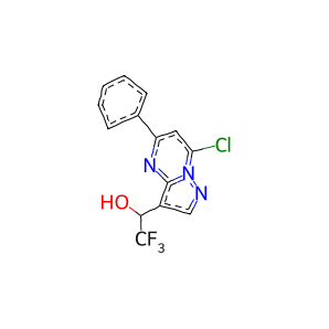 OC(c1cnn2c(Cl)cc(-c3ccccc3)nc12)C(F)(F)F